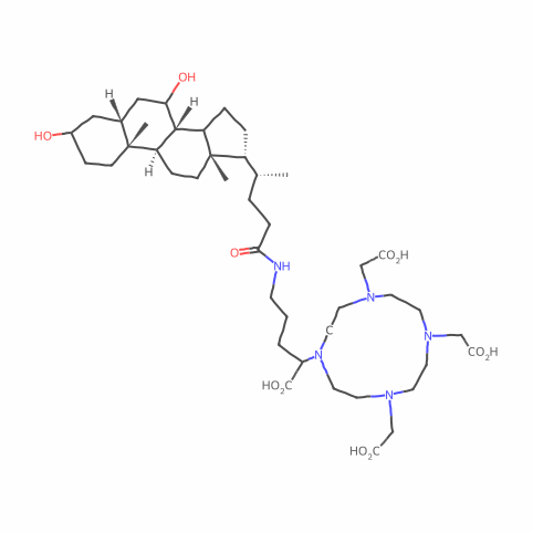 C[C@H](CCC(=O)NCCCC(C(=O)O)N1CCN(CC(=O)O)CCN(CC(=O)O)CCN(CC(=O)O)CC1)[C@H]1CCC2[C@H]3C(O)C[C@H]4CC(O)CC[C@@]4(C)[C@@H]3CC[C@]21C